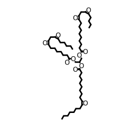 CCCCCCCC1OC1CCCCCCCCC(=O)OC(COC(=O)CCCCCCCCC1OC1CC1OC1CCCC)COC(=O)CCCCCCC1OC1CC1OC1CCCCC